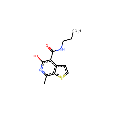 Cc1nc(O)c(C(=O)NCCC(=O)O)c2ccsc12